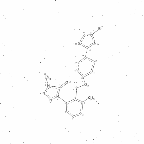 Cc1cccc(-n2nnn(C)c2=O)c1COc1ccc(-c2nc(Br)cs2)cc1